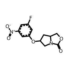 O=C1OCC2CC(Oc3cc(F)cc([N+](=O)[O-])c3)CN12